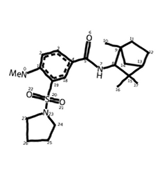 CNc1ccc(C(=O)NC2C3(C)CCC(C3)C2(C)C)cc1S(=O)(=O)N1CCCC1